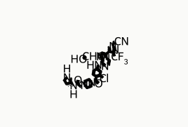 N#CCn1cc(-c2cnc3c(Nc4ccc(C(=O)N5CCN(CC(=O)N[C@H]6CCNC6)CC5)c(Cl)c4)nccn23)c(C(F)(F)F)n1.O=CO